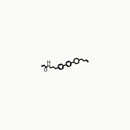 C=CCCC1CCC(c2ccc(-c3ccc(CCCNC(=O)C=C)cc3)cc2)CC1